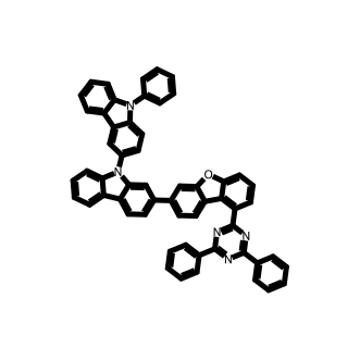 c1ccc(-c2nc(-c3ccccc3)nc(-c3cccc4oc5cc(-c6ccc7c8ccccc8n(-c8ccc9c(c8)c8ccccc8n9-c8ccccc8)c7c6)ccc5c34)n2)cc1